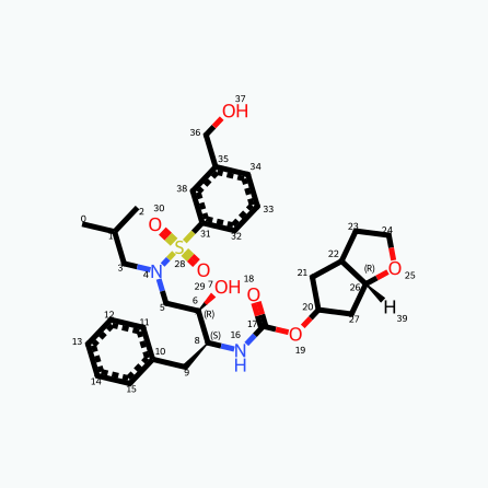 CC(C)CN(C[C@@H](O)[C@H](Cc1ccccc1)NC(=O)OC1CC2CCO[C@@H]2C1)S(=O)(=O)c1cccc(CO)c1